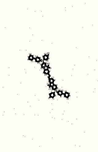 Cc1ccc(N(c2ccc(-c3ccccc3)cc2)c2ccc3c(c2)C(C)(C)c2cc(/C=C/c4ccc5c(c4)C(C)(C)c4cc(N(c6ccc(C)cc6)c6ccc(-c7ccccc7)cc6)ccc4-5)ccc2-3)cc1